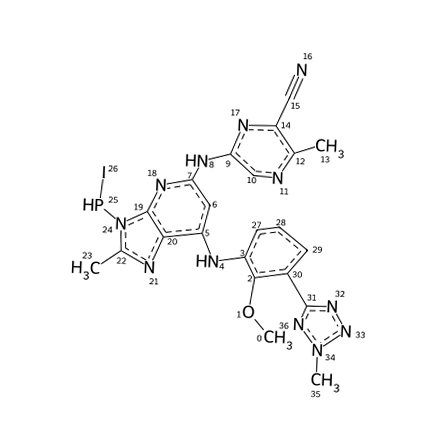 COc1c(Nc2cc(Nc3cnc(C)c(C#N)n3)nc3c2nc(C)n3PI)cccc1-c1nnn(C)n1